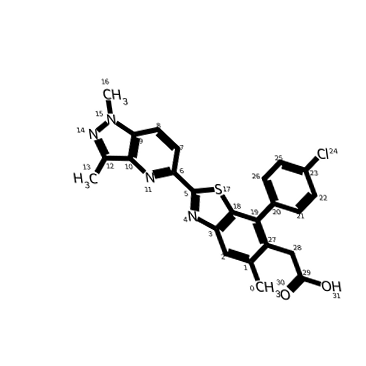 Cc1cc2nc(-c3ccc4c(n3)c(C)nn4C)sc2c(-c2ccc(Cl)cc2)c1CC(=O)O